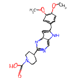 COc1ccc(-c2cc3nc(C4CCN(C(=O)O)CC4)ncc3[nH]2)cc1OC